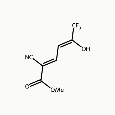 COC(=O)C(C#N)=CC=C(O)C(F)(F)F